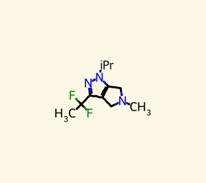 CC(C)n1nc(C(C)(F)F)c2c1CN(C)C2